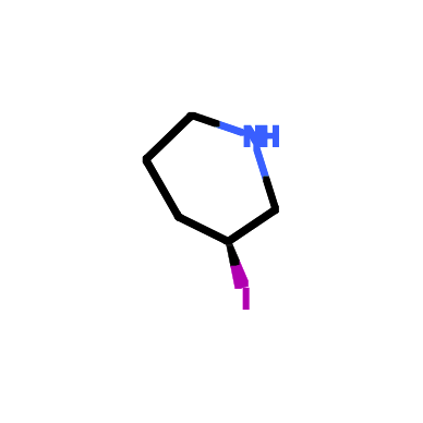 I[C@H]1CCCNC1